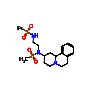 CC(C)S(=O)(=O)NCCN(C1CCN2CCc3ccccc3C2C1)S(C)(=O)=O